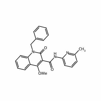 COc1c(C(=O)Nc2cccc(C)n2)c(=O)n(Cc2ccccc2)c2ccccc12